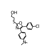 CN(C)c1ccc(-c2nc(SCCO)oc2-c2ccc(Cl)cc2)cc1